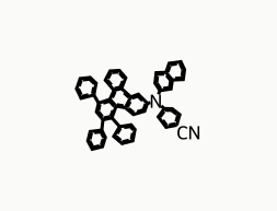 N#Cc1ccc(N(c2ccc3ccccc3c2)c2ccc3c(c2)c2ccccc2c2c(-c4ccccc4)cc(-c4ccccc4)c(-c4ccccc4)c32)cc1